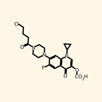 O=C(O)Oc1cn(C2CC2)c2cc(N3CCN(C(=O)CCCCl)CC3)c(F)cc2c1=O